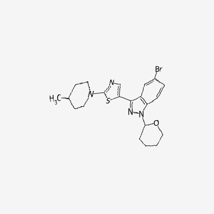 CC1CCN(c2ncc(-c3nn(C4CCCCO4)c4ccc(Br)cc34)s2)CC1